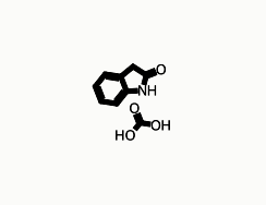 O=C(O)O.O=C1Cc2ccccc2N1